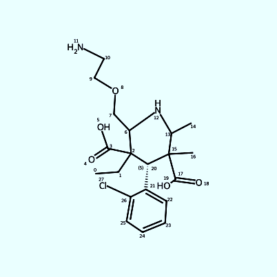 CCC1(C(=O)O)C(COCCN)NC(C)C(C)(C(=O)O)[C@@H]1c1ccccc1Cl